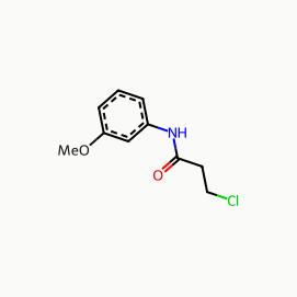 COc1cccc(NC(=O)CCCl)c1